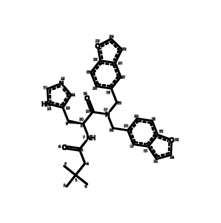 CC(C)(C)CC(=O)N[C@@H](Cc1cnc[nH]1)C(=O)N(Cc1ccc2occc2c1)Cc1ccc2occc2c1